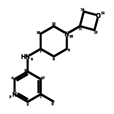 Cc1cncc(NC2CCN(C3COC3)CC2)c1